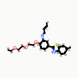 C/C=C/C=Nc1cc(-c2nc3ccc(C)cc3s2)ccc1OCCOCCOCC